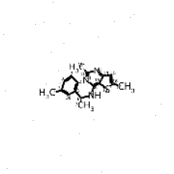 Cc1cccc([C@@H](C)Nc2nc(C)nc3cc(C)sc23)c1